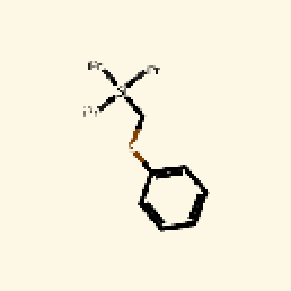 CC(C)[Si](CSc1ccccc1)(C(C)C)C(C)C